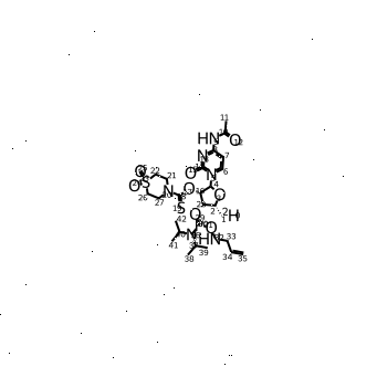 [2H]C[C@H]1OC(n2ccc(NC(C)=O)nc2=O)[C@@H](OC(=S)N2CCS(=O)(=O)CC2)[C@H]1OP(ONCC=C)N(C(C)C)C(C)C